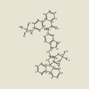 O=C(Nc1ccc2c(c1)ncn2CCCC1(C(=O)NCC(F)(F)F)c2ccccc2-c2ccccc21)c1ccccc1-c1ccc(OC(F)(F)F)cc1